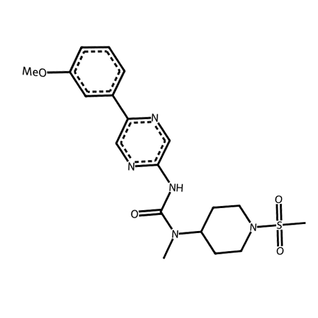 COc1cccc(-c2cnc(NC(=O)N(C)C3CCN(S(C)(=O)=O)CC3)cn2)c1